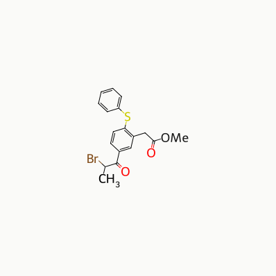 COC(=O)Cc1cc(C(=O)C(C)Br)ccc1Sc1ccccc1